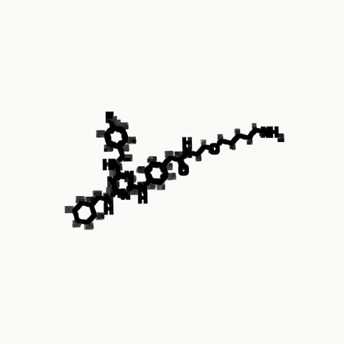 NCCCCCOCCNC(=O)Cc1ccc(Nc2nc(NCc3ccc(F)cc3)nc(NCC3CCCCC3)n2)cc1